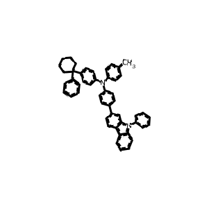 Cc1ccc(N(c2ccc(-c3ccc4c5ccccc5n(-c5ccccc5)c4c3)cc2)c2ccc(C3(c4ccccc4)CCCCC3)cc2)cc1